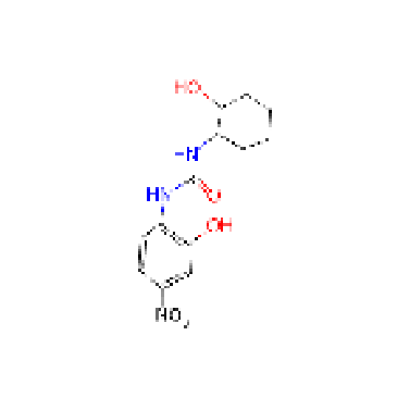 O=C(Nc1ccc([N+](=O)[O-])cc1O)NC1CCCCC1O